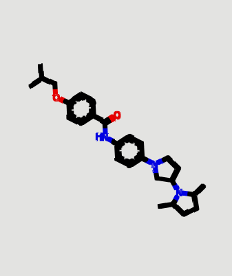 CC(C)COc1ccc(C(=O)Nc2ccc(N3CCC(N4C(C)CCC4C)C3)cc2)cc1